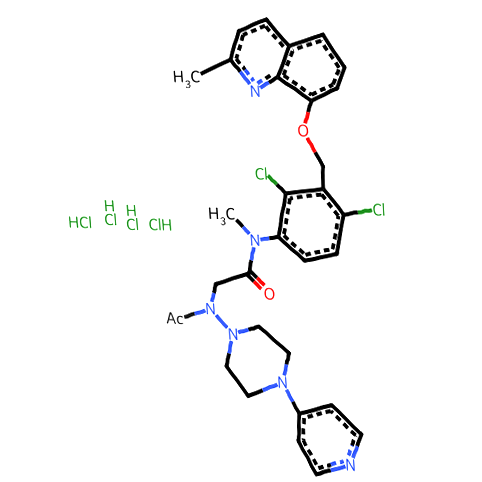 CC(=O)N(CC(=O)N(C)c1ccc(Cl)c(COc2cccc3ccc(C)nc23)c1Cl)N1CCN(c2ccncc2)CC1.Cl.Cl.Cl.Cl